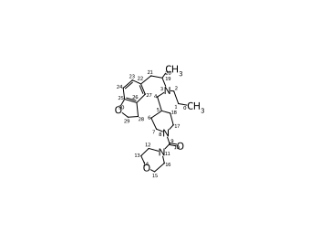 CCCN(CC1CCN(C(=O)N2CCOCC2)CC1)C(C)Cc1ccc2c(c1)CCO2